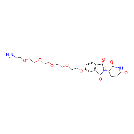 NCCOCCOCCOCCOCCOc1ccc2c(c1)C(=O)N(C1CCC(=O)NC1=O)C2=O